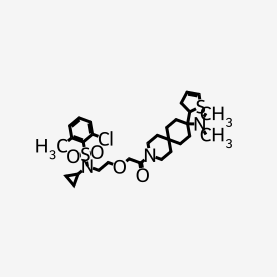 Cc1cccc(Cl)c1S(=O)(=O)N(CCOCC(=O)N1CCC2(CC1)CCC(C1CC=CS1)(N(C)C)CC2)C1CC1